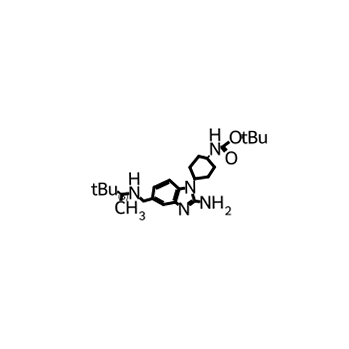 C[C@H](NCc1ccc2c(c1)nc(N)n2[C@H]1CC[C@@H](NC(=O)OC(C)(C)C)CC1)C(C)(C)C